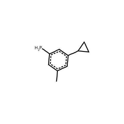 Cc1cc(P)cc(C2CC2)c1